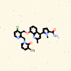 Cc1cc(-c2ccc(C(N)=O)n2C)c2cccc(OCc3c(Cl)ccnc3Cn3cccc(C#N)c3=O)c2n1